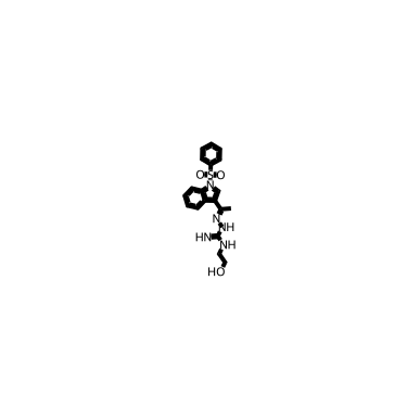 CC(=NNC(=N)NCCO)c1cn(S(=O)(=O)c2ccccc2)c2ccccc12